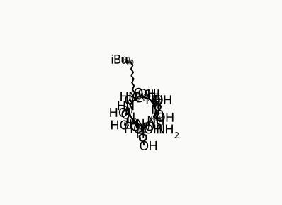 CC[C@H](C)C[C@H](C)CCCCCCCCC(=O)N[C@H]1C[C@@H](O)[C@@H](S)NC(=O)[C@@H]2[C@@H](O)CCN2C(=O)[C@H]([C@H](O)CCN)NC(=O)[C@H]([C@H](O)[C@@H](O)c2ccc(O)cc2)NC(=O)[C@@H]2C[C@@H](O)CN2C(=O)[C@H]([C@@H](C)O)NC1=O